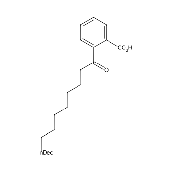 CCCCCCCCCCCCCCCCCC(=O)c1ccccc1C(=O)O